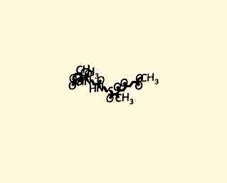 COC(=O)CCC(=O)CC(=O)C(C)C(=O)SCCNC(=O)CCNC(=O)[C@@H]1OC(=O)OCC1(C)C